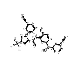 N#Cc1cccc(C(O)c2ccc(F)c(NC(=O)c3cc(C(F)(F)F)nn3-c3cccc(C#N)c3)c2)c1